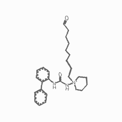 O=CCCCCCCCC[N+]1(NC(=O)Nc2ccccc2-c2ccccc2)CCCCC1